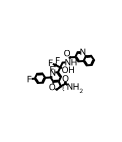 C[C@]1(C(N)=O)COc2c1cc(C(O)(CNC(=O)c1cnc3ccccc3c1)C(F)(F)F)nc2-c1ccc(F)cc1